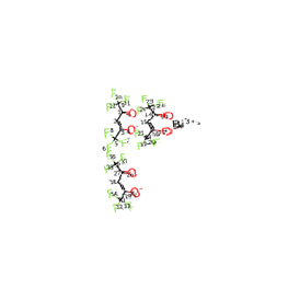 O=C(C=C([O-])C(F)(F)F)C(F)(F)F.O=C(C=C([O-])C(F)(F)F)C(F)(F)F.O=C(C=C([O-])C(F)(F)F)C(F)(F)F.[Bi+3]